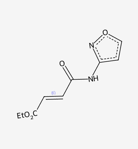 CCOC(=O)/C=C/C(=O)Nc1ccon1